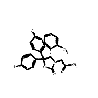 Cc1ccccc1[C@@H]1N(CC(N)=O)C(=O)OC1(c1ccc(F)cc1)c1ccc(F)cc1